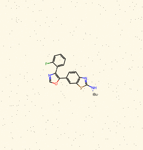 CC[C@@H](C)Nc1nc2ccc(-c3ocnc3-c3ccccc3F)cc2s1